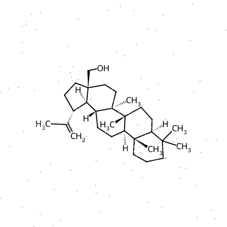 C=C(C)[C@@H]1CC[C@]2(CO)CC[C@]3(C)[C@H](CC[C@@H]4[C@@]5(C)CC[CH]C(C)(C)[C@@H]5CC[C@]43C)[C@@H]12